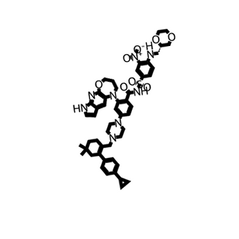 CC1(C)CCC(CN2CCN(c3ccc(C(=O)NS(=O)(=O)c4ccc(NC[C@H]5COCCO5)c([N+](=O)[O-])c4)c(N4CCCOc5nc6[nH]ccc6cc54)c3)CC2)=C(c2ccc(C3CC3)cc2)C1